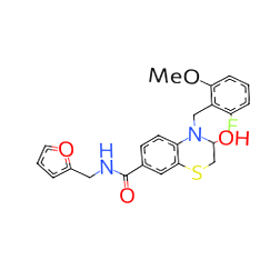 COc1cccc(F)c1CN1c2ccc(C(=O)NCc3ccco3)cc2SCC1O